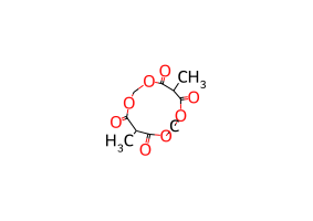 CC1C(=O)OCOC(=O)C(C)C(=O)OCOC1=O